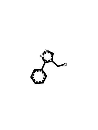 ClCc1csnc1-c1ccccc1